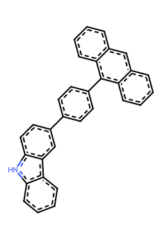 c1ccc2c(-c3ccc(-c4ccc5[nH]c6ccccc6c5c4)cc3)c3ccccc3cc2c1